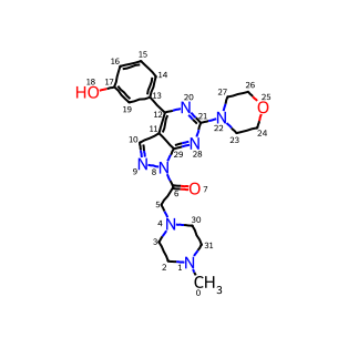 CN1CCN(CC(=O)n2ncc3c(-c4cccc(O)c4)nc(N4CCOCC4)nc32)CC1